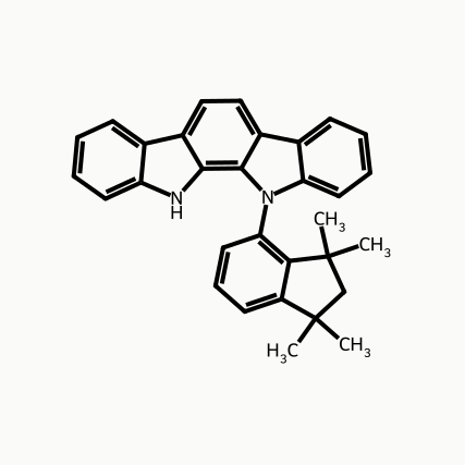 CC1(C)CC(C)(C)c2c(-n3c4ccccc4c4ccc5c6ccccc6[nH]c5c43)cccc21